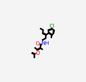 C=C(C)O/C(C)=C(\C)C(=O)NCC/C(=C/CC)c1cc(Cl)ccc1C